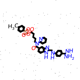 Cc1ccc(S(=O)(=O)OC(=O)CCCCN(C(=O)c2ccc3[nH]c(CNc4ccc(C(=N)N)cc4)nc3c2)c2ccccn2)cc1